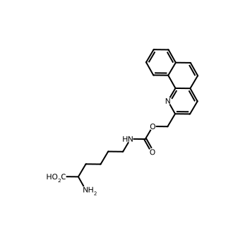 NC(CCCCNC(=O)OCc1ccc2ccc3ccccc3c2n1)C(=O)O